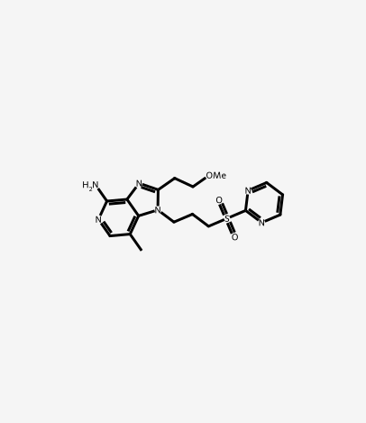 COCCc1nc2c(N)ncc(C)c2n1CCCS(=O)(=O)c1ncccn1